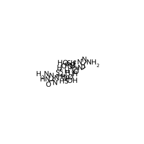 Nc1nc2c(ncn2[C@@H]2S[C@@H]3CO[PH](O)(S)O[C@H]4[C@H](F)[C@H](n5ccc6c(N)ncnc65)O[C@@H]4CO[PH](O)(S)O[C@@H]2C3)c(=O)[nH]1